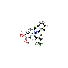 COc1cc2c(cc1OC)C(c1ccccc1F)=[N+](Cc1ccccc1F)CC2.[Cl-]